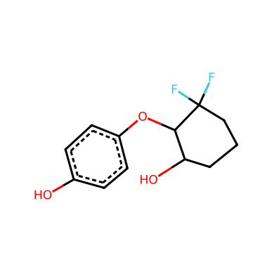 Oc1ccc(OC2C(O)CCCC2(F)F)cc1